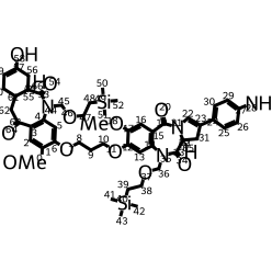 COc1cc2c(cc1OCCCOc1cc3c(cc1OC)C(=O)N1C=C(c4ccc(N)cc4)C[C@H]1C(=O)N3COCC[Si](C)(C)C)N(COCC[Si](C)(C)C)C(=O)[C@@H]1CC(O)=CCC1CC2=O